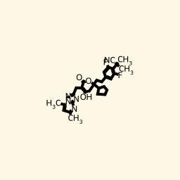 Cc1cc(C)n2nc(CC3=C(O)CC(CCc4cc(F)c(C(C)(C)C#N)c(F)c4)(C4CCCC4)OC3=O)nc2n1